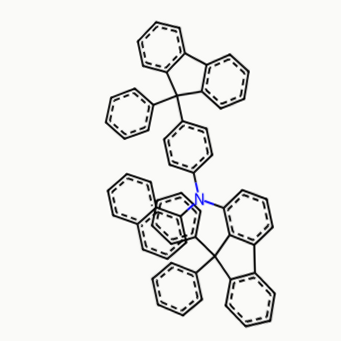 c1ccc(C2(c3ccc(N(c4cccc5c4C(c4ccccc4)(c4ccccc4)c4ccccc4-5)c4cccc5ccccc45)cc3)c3ccccc3-c3ccccc32)cc1